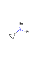 [CH2]CCN(CCCC)C1CC1